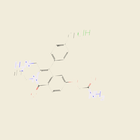 Cc1ccc(-c2c(CN)n(CC(C)C)c(=O)c3ccc(OCC(N)=O)cc23)cc1.Cl